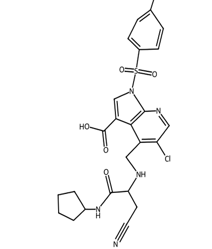 Cc1ccc(S(=O)(=O)n2cc(C(=O)O)c3c(CNC(CC#N)C(=O)NC4CCCC4)c(Cl)cnc32)cc1